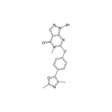 Cc1nc(C)c(-c2ccc(Oc3nc4c(cnn4C(C)C)c(=O)n3C)cc2)o1